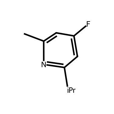 Cc1cc(F)cc(C(C)C)n1